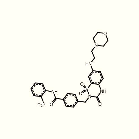 Nc1ccccc1NC(=O)c1ccc(CN2C(=O)Nc3ccc(NCCN4CCOCC4)cc3S2(=O)=O)cc1